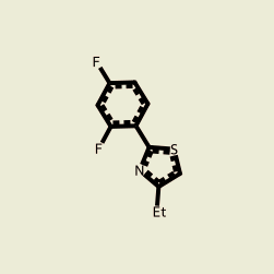 CCc1csc(-c2ccc(F)cc2F)n1